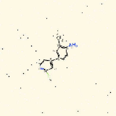 Nc1ccc(-c2ccnc(F)c2)cc1C(F)(F)F